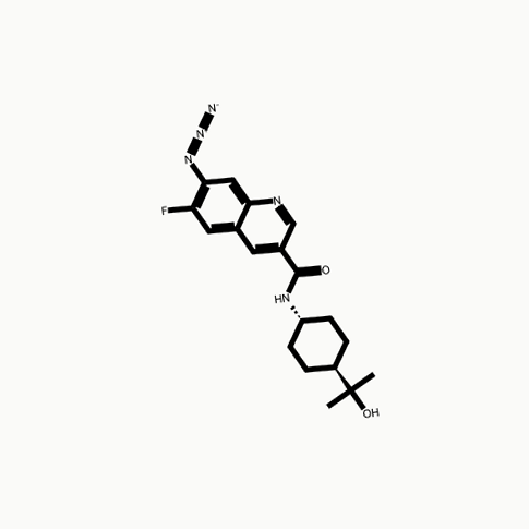 CC(C)(O)[C@H]1CC[C@H](NC(=O)c2cnc3cc(N=[N+]=[N-])c(F)cc3c2)CC1